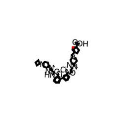 Cn1c(C(=O)Nc2cccc(-c3cccc(N(Cl)C(=O)c4nc5c(n4C)CCN(CC46CCC(C(=O)O)(CC4)C6)C5)c3)c2Cl)nc2c1CCN(C1CCC1)C2